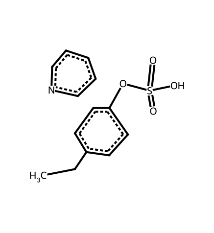 CCc1ccc(OS(=O)(=O)O)cc1.c1ccncc1